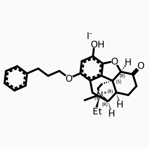 CC[N@@+]1(C)CC[C@]23c4c5c(OCCCc6ccccc6)cc(O)c4O[C@H]2C(=O)CC[C@H]3[C@H]1C5.[I-]